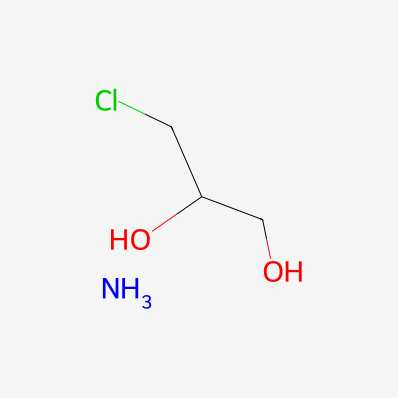 N.OCC(O)CCl